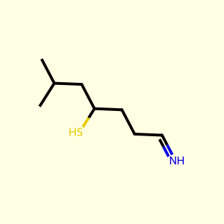 CC(C)CC(S)CCC=N